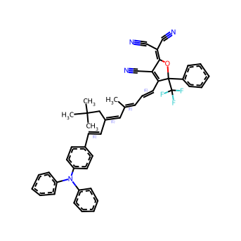 CC(=C\C=C\C1=C(C#N)C(=C(C#N)C#N)OC1(c1ccccc1)C(F)(F)F)/C=C(/C=C/c1ccc(N(c2ccccc2)c2ccccc2)cc1)CC(C)(C)C